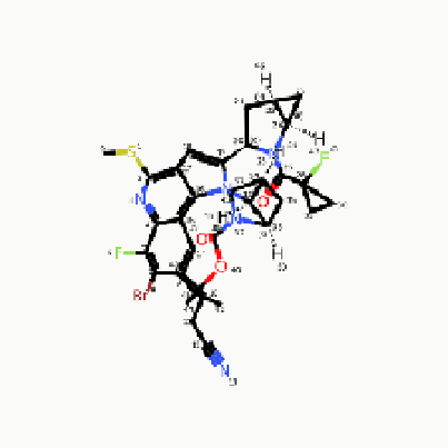 CSc1nc2c(F)c(Br)c(CCC#N)cc2c2c1cc([C@H]1C[C@H]3C[C@H]3N1C(=O)C1(F)CC1)n2[C@H]1[C@@H]2C[C@H]1N(C(=O)OC(C)(C)C)C2